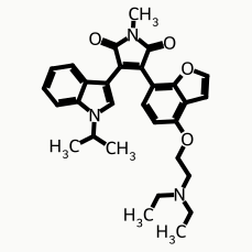 CCN(CC)CCOc1ccc(C2=C(c3cn(C(C)C)c4ccccc34)C(=O)N(C)C2=O)c2occc12